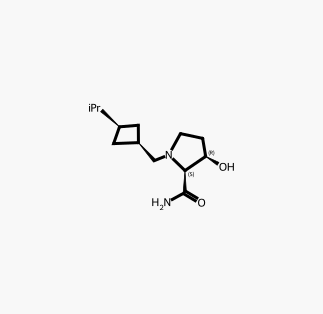 CC(C)[C@H]1C[C@@H](CN2CC[C@@H](O)[C@H]2C(N)=O)C1